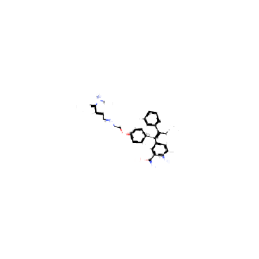 BC(=N)c1cc(/C(=C(\CC)c2ccccc2)c2ccc(OCCNC/C=C/C(=C)N(C)C)cc2)ccc1N